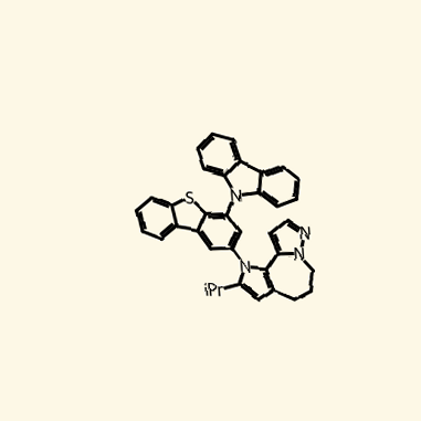 CC(C)c1cc2c(n1-c1cc(-n3c4ccccc4c4ccccc43)c3sc4ccccc4c3c1)-c1ccnn1CCC2